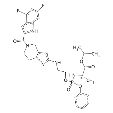 CC(C)OC(=O)[C@H](C)NP(=O)(OCCNc1nc2c(s1)CN(C(=O)c1cc3c(F)cc(F)cc3[nH]1)CC2)Oc1ccccc1